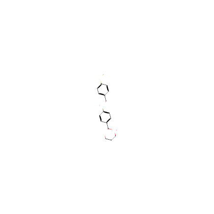 CSc1ccc(COc2ccc(C3OCCCO3)cc2)cc1